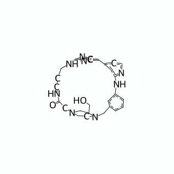 O=C1CN2CCN(Cc3cccc(c3)Nc3cc(ccn3)-c3cnc(nc3)NCCCN1)C(CO)C2